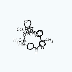 Cc1cnc(N[C@H]2CC[C@H](N[C@H](C)CO[C@@H](C)C(=O)O)CC2)cc1-c1cccc(NCC2(C#N)CCOCC2)n1